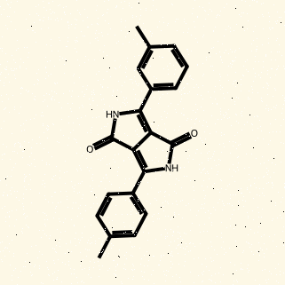 Cc1ccc(C2=C3C(=O)NC(c4cccc(C)c4)=C3C(=O)N2)cc1